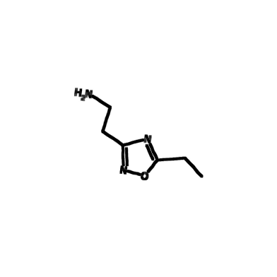 CCc1nc(CCN)no1